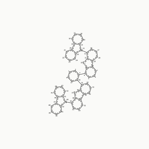 c1ccc(-c2cccc3c2sc2c(-n4c5ccccc5c5ccccc54)cccc23)c(-c2cccc3c2sc2c(-n4c5ccccc5c5ccccc54)cccc23)c1